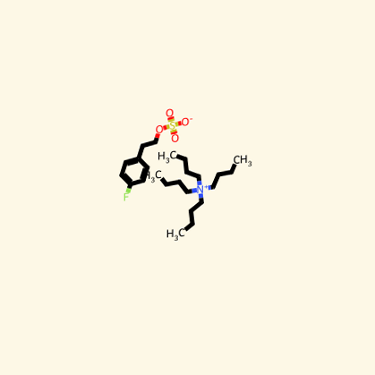 CCCC[N+](CCCC)(CCCC)CCCC.O=S(=O)([O-])OCCc1ccc(F)cc1